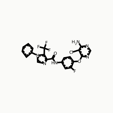 Nc1ncnc(Oc2ccc(NC(=O)c3ncn(-c4ccccc4)c3C(F)(F)F)cc2F)c1Cl